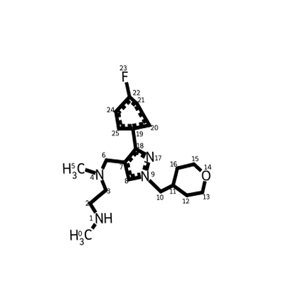 CNCCN(C)Cc1cn(CC2CCOCC2)nc1-c1ccc(F)cc1